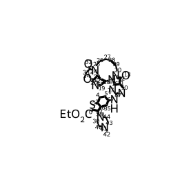 CCOC(=O)c1sc2ccc(Nc3ncc4c(=O)n5n(c4n3)-c3cnc4c(c3)N(CCC/C=C\C5)C(=O)CO4)cc2c1N1CCN(C)CC1